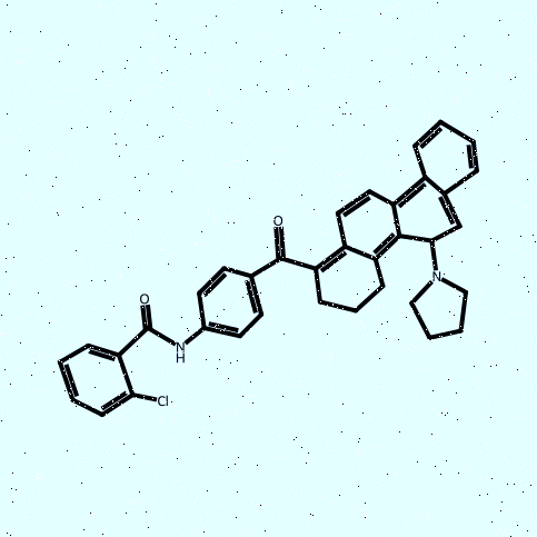 O=C(C1=c2ccc3c(c2CCC1)C(N1CCCC1)C=c1ccccc1=3)c1ccc(NC(=O)c2ccccc2Cl)cc1